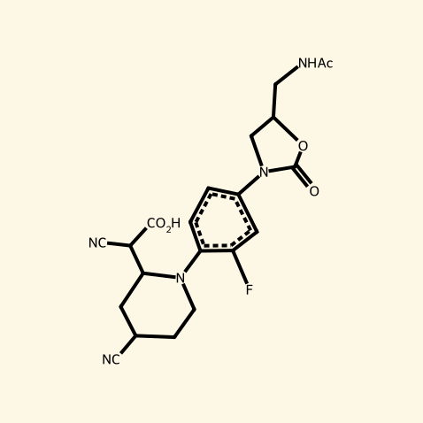 CC(=O)NCC1CN(c2ccc(N3CCC(C#N)CC3C(C#N)C(=O)O)c(F)c2)C(=O)O1